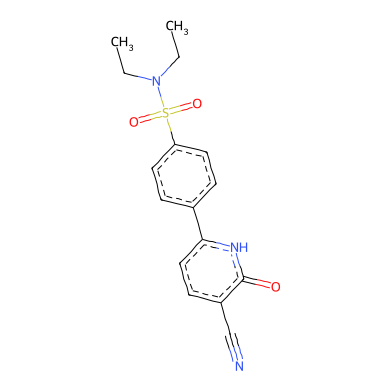 CCN(CC)S(=O)(=O)c1ccc(-c2ccc(C#N)c(=O)[nH]2)cc1